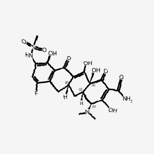 CN(C)[C@@H]1C(O)=C(C(N)=O)C(=O)[C@@]2(O)C(O)=C3C(=O)c4c(O)c(NS(C)(=O)=O)cc(F)c4C[C@H]3C[C@@H]12